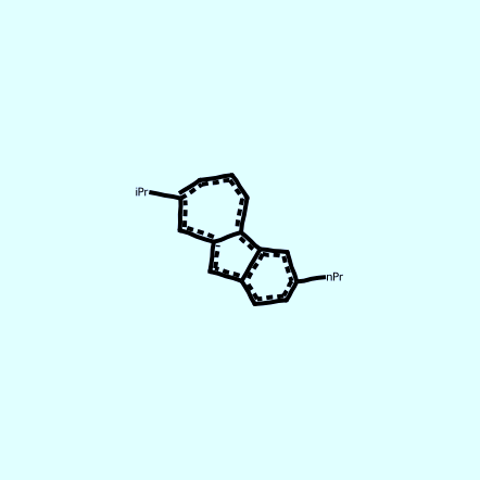 CCCc1ccc2cc3cc(C(C)C)cccc-3c2c1